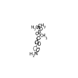 CC(C(=O)OCC(=O)N(C)C)c1ccc(OC(=O)C2CCCc3c(N)cccc32)cc1